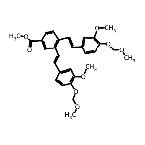 COCOc1ccc(C=Cc2ccc(C(=O)OC)cc2C=Cc2ccc(OCOC)c(OC)c2)cc1OC